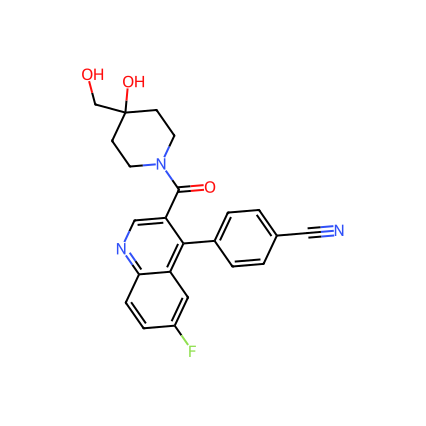 N#Cc1ccc(-c2c(C(=O)N3CCC(O)(CO)CC3)cnc3ccc(F)cc23)cc1